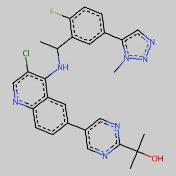 CC(Nc1c(Cl)cnc2ccc(-c3cnc(C(C)(C)O)nc3)cc12)c1cc(-c2cnnn2C)ccc1F